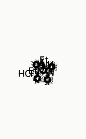 CCC(NC(=O)c1c(CN[C@@H](CC)c2ccccc2)c(-c2ccccc2)nc2ccccc12)c1ccccc1.Cl